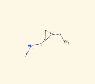 CCC1CC1CNI